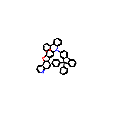 c1ccc(-c2ccccc2N(c2ccc3c(c2)C(c2ccccc2)(c2ccccc2)c2ccccc2-3)c2ccc3oc4c5cccnc5ccc4c3c2)cc1